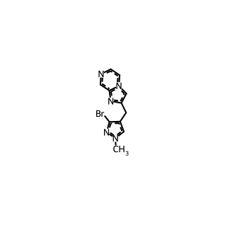 Cn1cc(Cc2cn3ccncc3n2)c(Br)n1